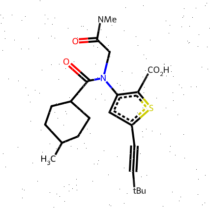 CNC(=O)CN(C(=O)C1CCC(C)CC1)c1cc(C#CC(C)(C)C)sc1C(=O)O